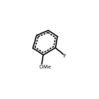 COc1ccc[c]c1F